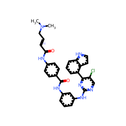 CN(C)C/C=C/C(=O)Nc1ccc(C(=O)Nc2cccc(Nc3ncc(Cl)c(-c4cccc5[nH]ccc45)n3)c2)cc1